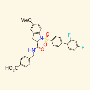 COc1ccc2c(c1)CC(C(=O)NCc1ccc(C(=O)O)cc1)N2S(=O)(=O)c1ccc(-c2ccc(F)cc2F)cc1